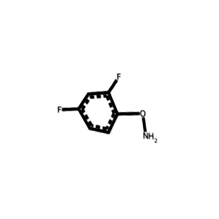 NOc1ccc(F)cc1F